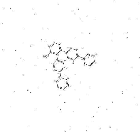 Oc1cccc(-c2ccc(-c3cccnc3)cc2)c1-c1ccc(-c2cccnc2)cc1